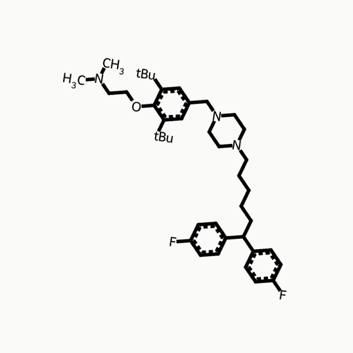 CN(C)CCOc1c(C(C)(C)C)cc(CN2CCN(CCCCCC(c3ccc(F)cc3)c3ccc(F)cc3)CC2)cc1C(C)(C)C